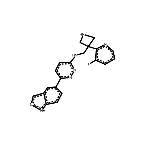 Fc1cccnc1C1(CNc2ccc(-c3ccc4[nH]ncc4c3)nn2)CNC1